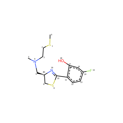 CSCCN(C)C[C@@H]1CSC(c2ccc(F)cc2O)=N1